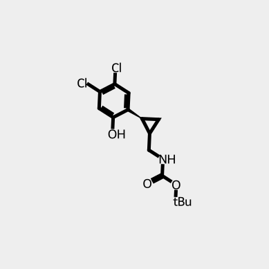 CC(C)(C)OC(=O)NCC1C[C@@H]1c1cc(Cl)c(Cl)cc1O